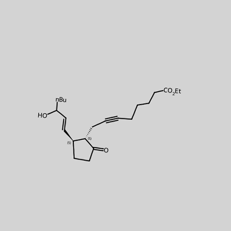 CCCCC(O)C=C[C@@H]1CCC(=O)[C@H]1CC#CCCCCC(=O)OCC